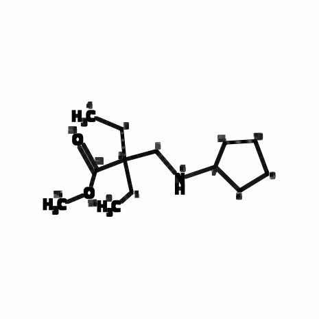 CCC(CC)(CNC1CCCC1)C(=O)OC